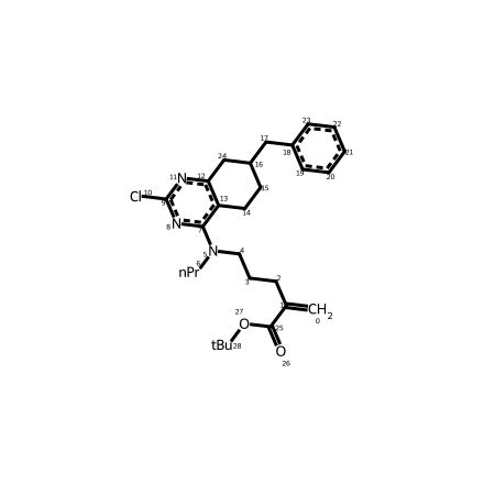 C=C(CCCN(CCC)c1nc(Cl)nc2c1CCC(Cc1ccccc1)C2)C(=O)OC(C)(C)C